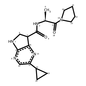 C[C@H](NC(=O)C1CNc2ncc(C3CC3)nc21)C(=O)N1CCCC1